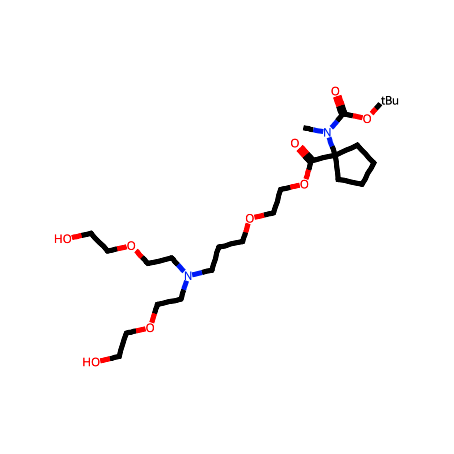 CN(C(=O)OC(C)(C)C)C1(C(=O)OCCOCCCN(CCOCCO)CCOCCO)CCCC1